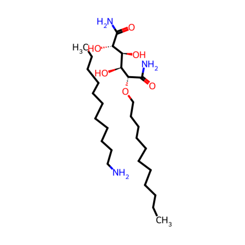 CCCCCCCCCCCN.CCCCCCCCCCCO[C@@H](C(N)=O)[C@@H](O)[C@H](O)[C@H](O)C(N)=O